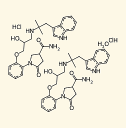 CC(C)(Cc1c[nH]c2ccccc12)NCC(O)COc1ccccc1N1CC(C(N)=O)CC1=O.CC(C)(Cc1c[nH]c2ccccc12)NCC(O)COc1ccccc1N1CC(C(N)=O)CC1=O.Cl.Cl.O